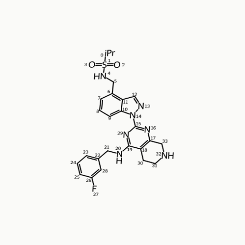 CC(C)S(=O)(=O)NCc1cccc2c1cnn2-c1nc2c(c(NCc3cccc(F)c3)n1)CCNC2